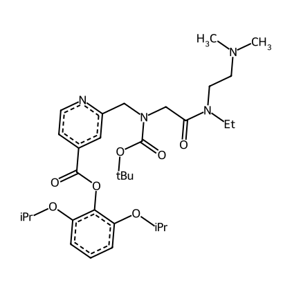 CCN(CCN(C)C)C(=O)CN(Cc1cc(C(=O)Oc2c(OC(C)C)cccc2OC(C)C)ccn1)C(=O)OC(C)(C)C